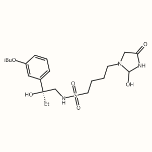 CC[C@@](O)(CNS(=O)(=O)CCCCN1CC(=O)NC1O)c1cccc(OCC(C)C)c1